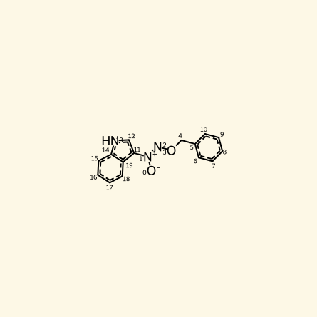 [O-]/[N+](=N\OCc1ccccc1)c1c[nH]c2ccccc12